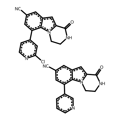 N#Cc1cc(-c2cccnc2)c2c(c1)cc1n2CCNC1=O.N#Cc1cc(-c2ccnc(Cl)c2)c2c(c1)cc1n2CCNC1=O